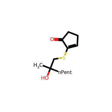 CCCCCC(C)(O)CSC1=CCCC1=O